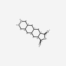 O=C1OC(=O)C2CC3CC4COOCC4CC3CC12